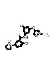 Cn1cc(Oc2cc(Cl)cc(NC(=O)c3cc(N4CCC[S+]4[O-])ccc3Cl)c2)cn1